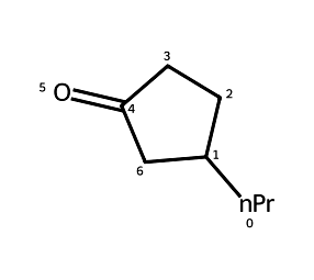 CCCC1CCC(=O)C1